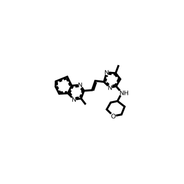 Cc1cc(NC2CCOCC2)nc(/C=C/c2nc3ccccc3nc2C)n1